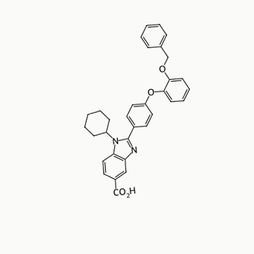 O=C(O)c1ccc2c(c1)nc(-c1ccc(Oc3ccccc3OCc3ccccc3)cc1)n2C1CCCCC1